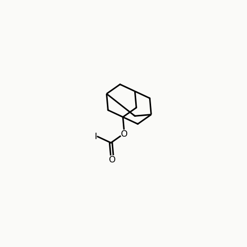 O=C(I)OC12CC3CC(CC(C3)C1)C2